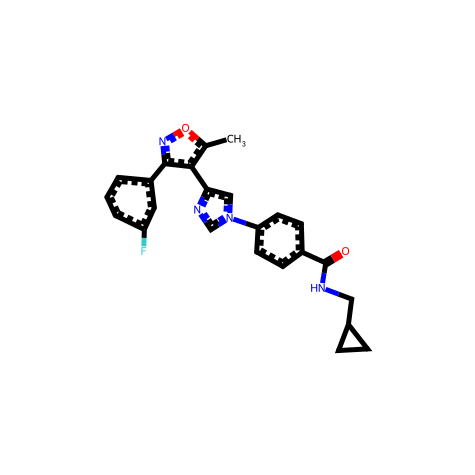 Cc1onc(-c2cccc(F)c2)c1-c1cn(-c2ccc(C(=O)NCC3CC3)cc2)cn1